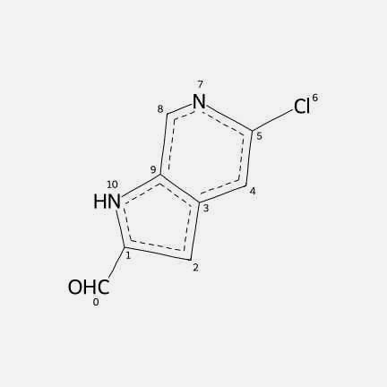 O=Cc1cc2cc(Cl)ncc2[nH]1